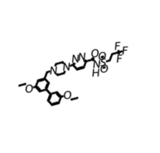 CCOc1cccc(-c2cc(CN3CCN(c4ccc(C(=O)NS(=O)(=O)CCC(F)(F)F)nn4)CC3)cc(OCC)c2)c1